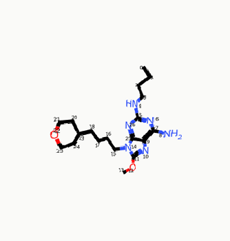 CCCCNc1nc(N)c2nc(OC)n(CCCCC3CCOCC3)c2n1